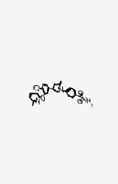 C=C1C[C@H](c2ccc(Cl)c(Oc3cccc(C)n3)c2)CN1c1ccc(S(N)(=O)=O)cc1